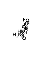 Cc1nc2c(OCc3c(F)cccc3F)cccn2c1C(=O)NC(CN)COc1ccccc1